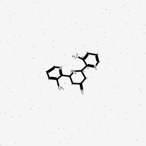 Cc1cccnc1C1CC(=O)CC(c2ncccc2C)N1